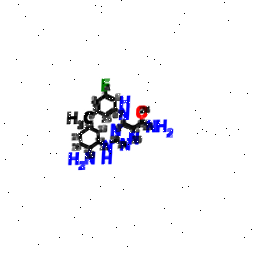 Cc1cc(F)cc(Nc2nc(N[C@@H]3CCCC[C@@H]3N)nnc2C(N)=O)c1